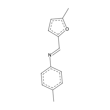 Cc1ccc(/N=C/c2ccc(C)o2)cc1